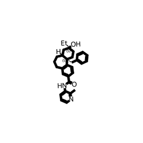 CC[C@]1(O)CC[C@@]2(Cc3ccccc3)c3ccc(C(=O)Nc4cccnc4C)cc3CCC[C@H]2C1